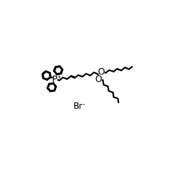 CCCCCCCCOC(CCCCCC=CCCC[P+](c1ccccc1)(c1ccccc1)c1ccccc1)OCCCCCCCC.[Br-]